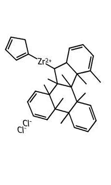 CC1=CC=CC2[CH]([Zr+2][C]3=CC=CC3)C3(C)C4(C)C=CC=CC4(C)C4(C)C=CC=CC4(C)C3(C)C12C.[Cl-].[Cl-]